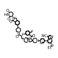 CCOc1cc(-c2ccc(N3CCC(CN4CCN(CCC(=O)N5CCC(c6ccc7c(c6)C(=O)N(C6CCC(=O)NC6=O)C7)CC5)CC4)(NC(=O)c4cc(F)ccc4F)CC3)nc2)c2c(C#N)cnn2c1